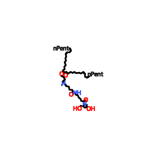 CCCCC/C=C\C/C=C\CCCCCCCCC1(CCCCCCCC/C=C\C/C=C\CCCCC)OCC(CCN(C)CCCCCC(=O)NCCCCCC(=O)N2C[C@H](O)C[C@H]2CO)O1